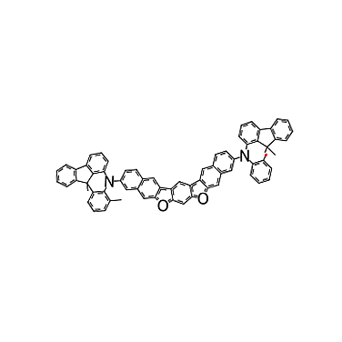 Cc1ccccc1N(c1ccc2cc3c(cc2c1)oc1cc2oc4cc5cc(N6c7cccc8c7C(C)(c7ccccc7-8)c7cccc(C)c76)ccc5cc4c2cc13)c1cccc2c1C(C)(C)c1ccccc1-2